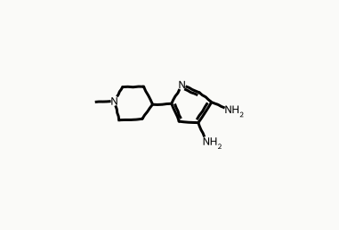 CN1CCC(c2cc(N)c(N)cn2)CC1